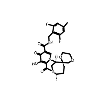 Cc1cc(F)c(CNC(=O)c2cn3c(c(O)c2=O)C(=O)N2C[C@@H]3[C@@]3(CC[C@@H]2C)COCCO3)c(F)c1